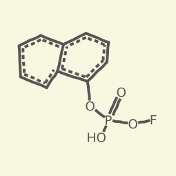 O=P(O)(OF)Oc1cccc2ccccc12